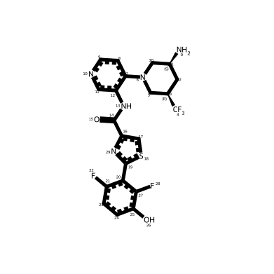 N[C@H]1C[C@@H](C(F)(F)F)CN(c2ccncc2NC(=O)c2csc(-c3c(F)ccc(O)c3F)n2)C1